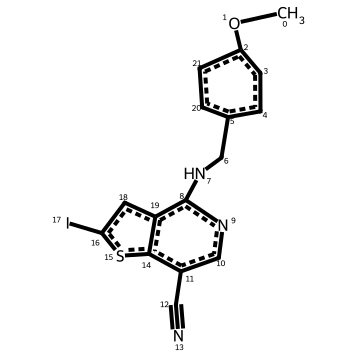 COc1ccc(CNc2ncc(C#N)c3sc(I)cc23)cc1